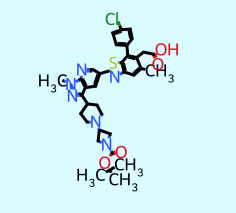 Cc1cc2nc(-c3cnc4c(c3)c(C3CCN(C5CN(C(=O)OC(C)(C)C)C5)CC3)nn4C)sc2c(-c2ccc(Cl)cc2)c1CC(=O)O